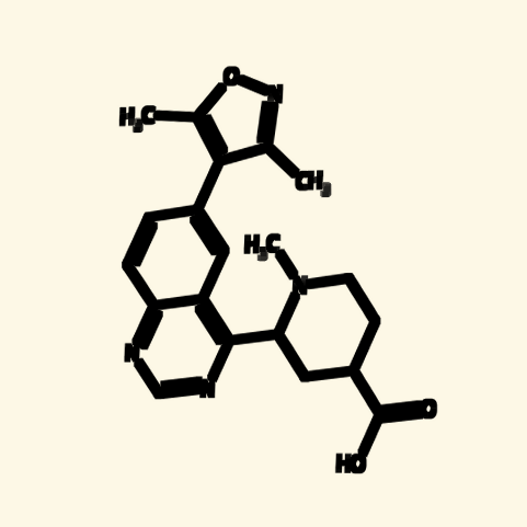 Cc1noc(C)c1-c1ccc2ncnc(C3CC(C(=O)O)CCN3C)c2c1